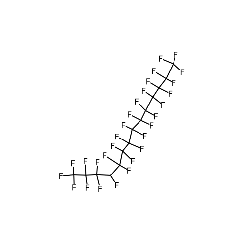 FC(C(F)(F)C(F)(F)C(F)(F)F)C(F)(F)C(F)(F)C(F)(F)C(F)(F)C(F)(F)C(F)(F)C(F)(F)C(F)(F)C(F)(F)C(F)(F)F